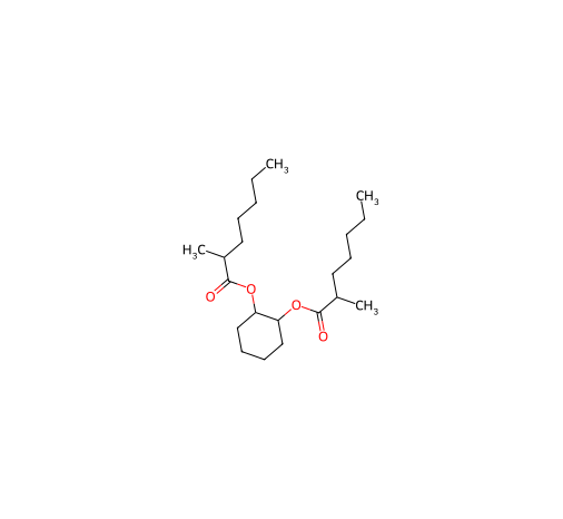 CCCCCC(C)C(=O)OC1CCCCC1OC(=O)C(C)CCCCC